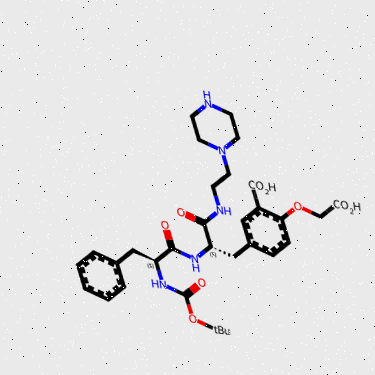 CC(C)(C)OC(=O)N[C@@H](Cc1ccccc1)C(=O)N[C@@H](Cc1ccc(OCC(=O)O)c(C(=O)O)c1)C(=O)NCCN1CCNCC1